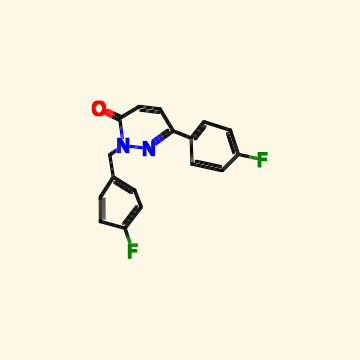 O=c1ccc(-c2ccc(F)cc2)nn1Cc1ccc(F)cc1